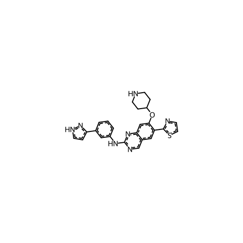 c1cc(Nc2ncc3cc(-c4nccs4)c(OC4CCNCC4)cc3n2)cc(-c2cc[nH]n2)c1